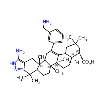 CC1(C)CC2C3=C(c4cccc(CN)c4)CC4[C@@]5(C)Cc6c(n[nH]c6N)C(C)(C)C5CC[C@@]4(C)[C@]3(C)CC[C@@H]2[C@H](C(=O)O)C1